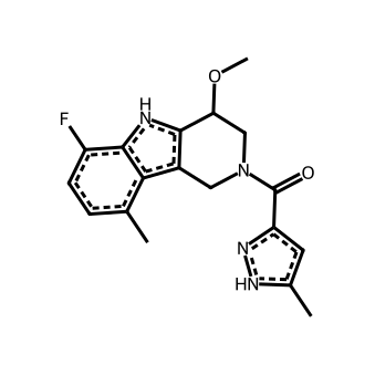 COC1CN(C(=O)c2cc(C)[nH]n2)Cc2c1[nH]c1c(F)ccc(C)c21